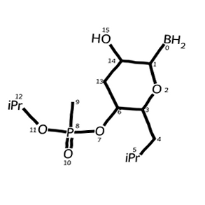 BC1OC(CC(C)C)C(OP(C)(=O)OC(C)C)CC1O